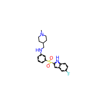 CN1CCC(CNc2cccc(S(=O)(=O)c3cc4cc(F)ccc4[nH]3)c2)CC1